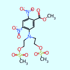 COC(=O)c1cc(N(CCOS(C)(=O)=O)CCOS(C)(=O)=O)c([N+](=O)[O-])cc1[N+](=O)[O-]